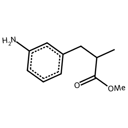 COC(=O)C(C)Cc1cccc(N)c1